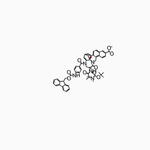 COC(=O)c1ccc2c(CN3C(=O)[C@@H](NC(=O)[C@H](C)N(C)C(=O)OC(C)(C)C)CN(C(=O)c4ccc(NC(=O)OCC5c6ccccc6-c6ccccc65)cc4)c4ccccc43)c(OC)ccc2c1